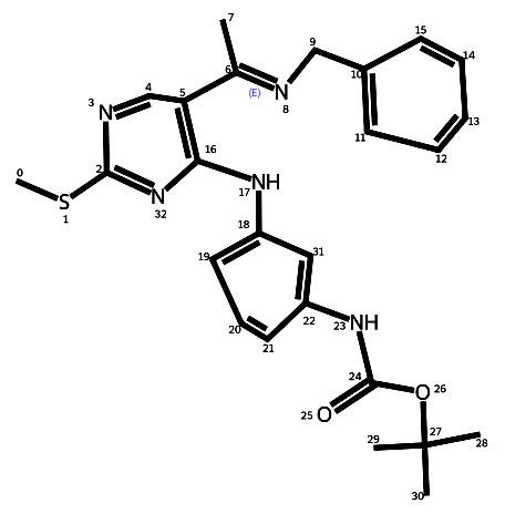 CSc1ncc(/C(C)=N/Cc2ccccc2)c(Nc2cccc(NC(=O)OC(C)(C)C)c2)n1